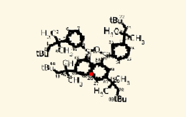 CC(C)(C)CC(C)(C)c1cccc([SiH](O[SiH](c2cccc(C(C)(C)CC(C)(C)C)c2)c2cccc(C(C)(C)CC(C)(C)C)c2)c2cccc(C(C)(C)CC(C)(C)C)c2)c1